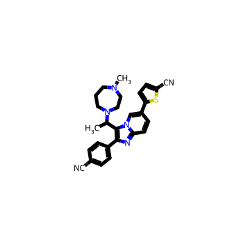 CC(c1c(-c2ccc(C#N)cc2)nc2ccc(-c3ccc(C#N)s3)cn12)N1CCCN(C)CC1